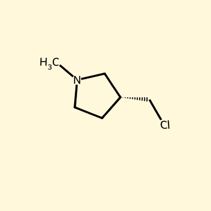 CN1CC[C@@H](CCl)C1